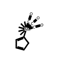 [CH3][Mn]([CH3])([CH3])([CH3])([CH3])(=[C]=O)(=[C]=O)(=[C]=O)[C]1=CC=CC1